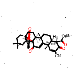 COC(=O)[C@]1(C)C(=O)C(C#N)=C[C@]2(C)C3=CC(=O)[C@]45OC(=O)[C@@]6(CCC(C)(C)C[C@H]64)CC[C@@]5(C)[C@]3(C)CC[C@@H]12